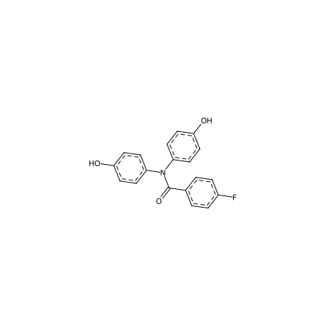 O=C(c1ccc(F)cc1)N(c1ccc(O)cc1)c1ccc(O)cc1